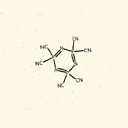 N#CP1(C#N)=NP(C#N)(C#N)=NP(C#N)(C#N)=N1